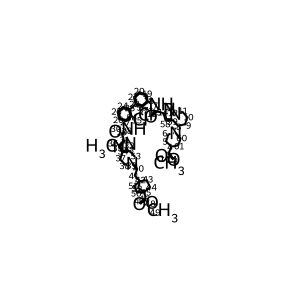 COC(=O)C1CCN(C2CCCn3nc(C(=O)Nc4cccc(-c5cccc(NC(=O)c6nc7c(n6C)CCN(CCC68CCC(C(=O)OC)(CC6)C8)C7)c5Cl)c4Cl)cc32)CC1